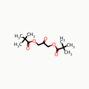 CC(C)(C)C(=O)OCC(=O)COC(=O)C(C)(C)C